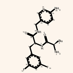 CCC(C)[C@@H](N)C(=O)N[C@@H](Cc1cc(F)cc(F)c1)C(=O)NCc1ccc(N)nc1